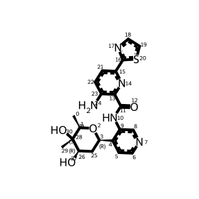 C[C@H]1O[C@@H](c2ccncc2NC(=O)c2nc(-c3nccs3)ccc2N)C[C@@H](O)[C@]1(C)O